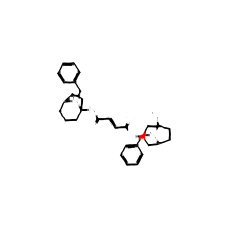 NC12CCC(CC(OC(=O)/C=C/C(=O)NC34CCCC(CC3)N4Cc3ccccc3)C1)N2Cc1ccccc1